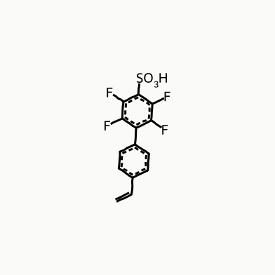 C=Cc1ccc(-c2c(F)c(F)c(S(=O)(=O)O)c(F)c2F)cc1